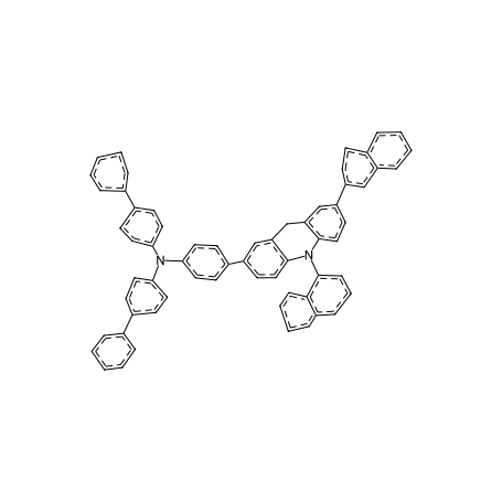 c1ccc(-c2ccc(N(c3ccc(-c4ccccc4)cc3)c3ccc(-c4ccc5c(c4)Cc4cc(-c6ccc7ccccc7c6)ccc4N5c4cccc5ccccc45)cc3)cc2)cc1